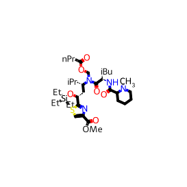 CCCC(=O)OCN(C(=O)[C@@H](NC(=O)C1CCCCN1C)[C@@H](C)CC)[C@H](C[C@@H](O[Si](CC)(CC)CC)c1nc(C(=O)OC)cs1)C(C)C